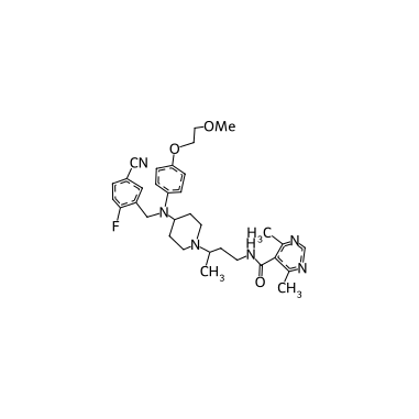 COCCOc1ccc(N(Cc2cc(C#N)ccc2F)C2CCN(C(C)CCNC(=O)c3c(C)ncnc3C)CC2)cc1